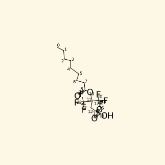 CCCCCCCCC(=O)OC(CS(=O)(=O)O)(C(F)(F)F)C(F)(F)F